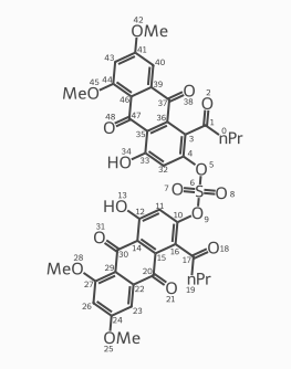 CCCC(=O)c1c(OS(=O)(=O)Oc2cc(O)c3c(c2C(=O)CCC)C(=O)c2cc(OC)cc(OC)c2C3=O)cc(O)c2c1C(=O)c1cc(OC)cc(OC)c1C2=O